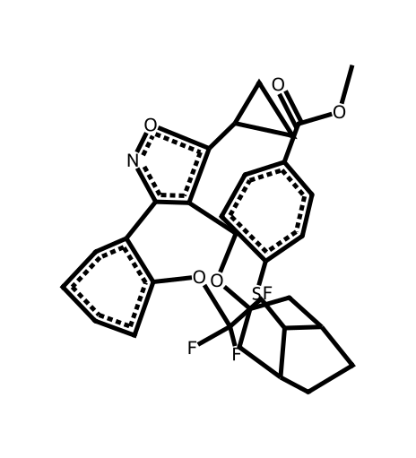 COC(=O)c1ccc(SC2C3CCC2CC(OCc2c(-c4ccccc4OC(F)(F)F)noc2C2CC2)C3)cc1